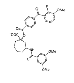 COc1cc(OC)cc(C(=O)NC2CCCC[N+](OC(=O)c3ccc(C(=O)c4cccc(OC)c4F)cc3)(C(=O)[O-])C2)c1